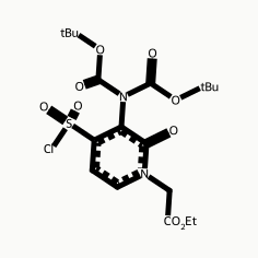 CCOC(=O)Cn1ccc(S(=O)(=O)Cl)c(N(C(=O)OC(C)(C)C)C(=O)OC(C)(C)C)c1=O